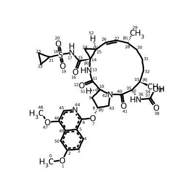 COc1ccc2c(O[C@@H]3C[C@H]4C(=O)N[C@]5(C(=O)NS(=O)(=O)C6CC6)C[C@H]5C=C[C@H](C)CCC[C@@H](C)[C@H](NC(=O)O)C(=O)N4C3)ncc(OC)c2c1